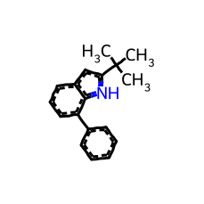 CC(C)(C)c1cc2cccc(-c3ccccc3)c2[nH]1